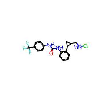 O=C(Nc1ccc(C(F)(F)F)cc1)Nc1ccccc1C1CC1CNCl